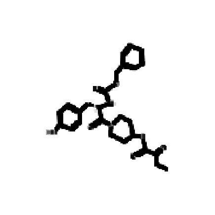 CCC(=O)C(=O)OC1CCN(C(=O)[C@H](Cc2ccc(O)cc2)NC(=O)OCc2ccccc2)CC1